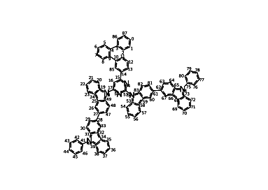 c1ccc(-c2ccccc2-c2cccc(-c3cc(-n4c5ccccc5c5cc(-c6ccc7c(c6)c6ccccc6n7-c6ccccc6)ccc54)nc(-n4c5ccccc5c5cc(-c6ccc7c(c6)c6ccccc6n7-c6ccccc6)ccc54)n3)c2)cc1